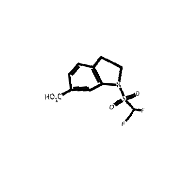 O=C(O)c1ccc2c(c1)N(S(=O)(=O)C(F)F)CC2